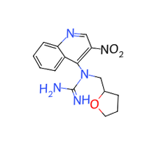 N=C(N)N(CC1CCCO1)c1c([N+](=O)[O-])cnc2ccccc12